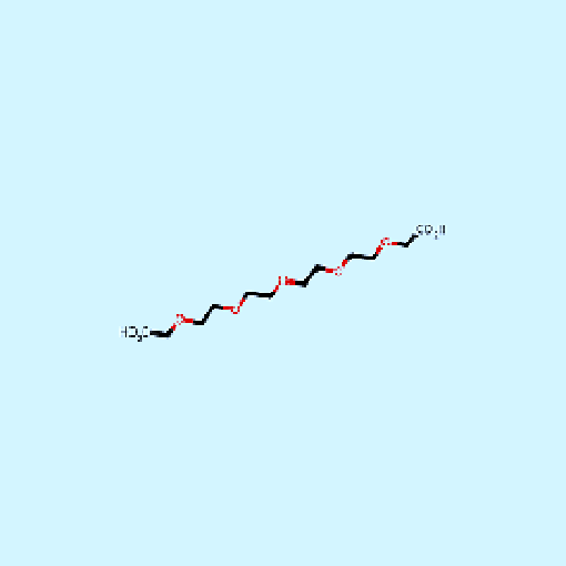 O=C(O)COCCOCCOCCOCCOCC(=O)O